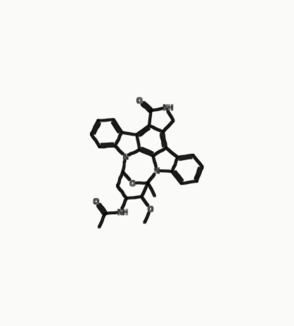 COC1C(NC(C)=O)CC2OC1(C)n1c3ccccc3c3c4c(c5c6ccccc6n2c5c31)C(=O)NC4